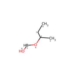 CCC(C)OBO